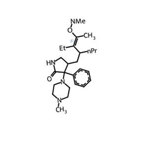 CCCC(CC1CNC(=O)C1(c1ccccc1)N1CCN(C)CC1)/C(CC)=C(\C)ONC